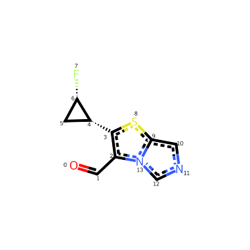 O=Cc1c([C@@H]2C[C@@H]2F)sc2cncn12